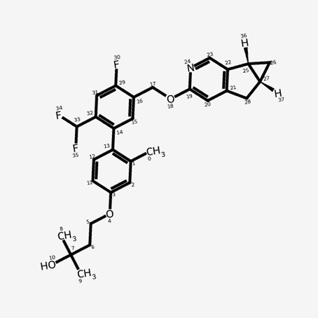 Cc1cc(OCCC(C)(C)O)ccc1-c1cc(COc2cc3c(cn2)[C@@H]2C[C@@H]2C3)c(F)cc1C(F)F